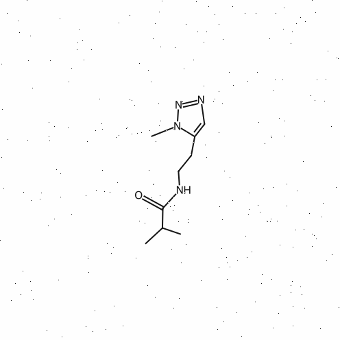 CC(C)C(=O)NCCc1cnnn1C